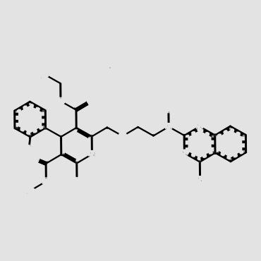 CCOC(=O)C1=C(COCCN(C)c2nc(N)c3ccccc3n2)NC(C)=C(C(=O)OC)C1c1ccccc1Cl.Cl